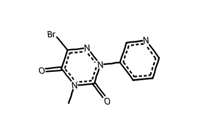 Cn1c(=O)c(Br)nn(-c2cccnc2)c1=O